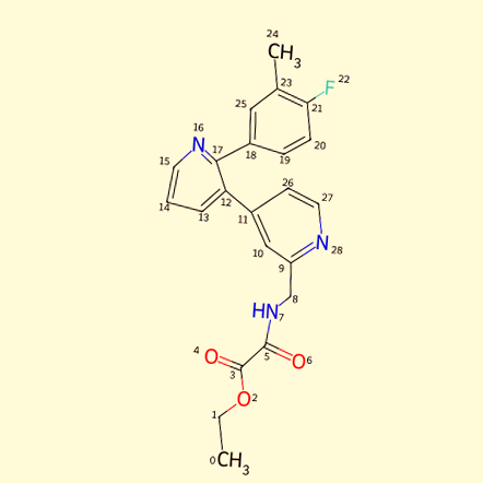 CCOC(=O)C(=O)NCc1cc(-c2cccnc2-c2ccc(F)c(C)c2)ccn1